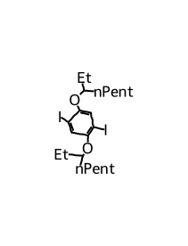 CCCCCC(CC)Oc1cc(I)c(OC(CC)CCCCC)cc1I